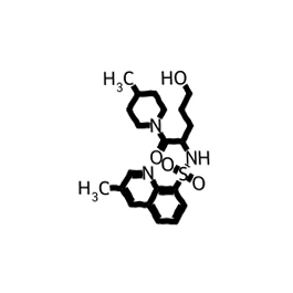 Cc1cnc2c(S(=O)(=O)NC(CCCO)C(=O)N3CCC(C)CC3)cccc2c1